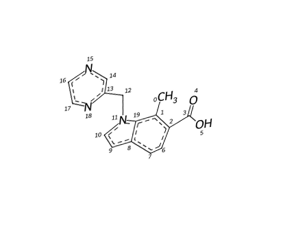 Cc1c(C(=O)O)ccc2ccn(Cc3cnccn3)c12